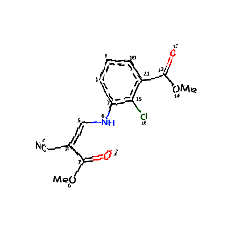 COC(=O)C(C#N)=CNc1cccc(C(=O)OC)c1Cl